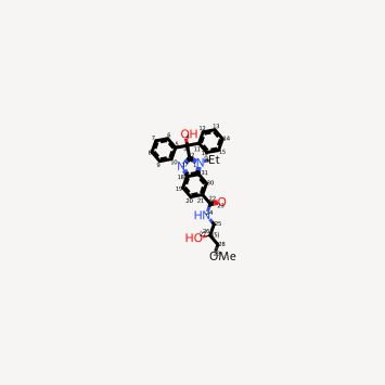 CCn1c(C(O)(c2ccccc2)c2ccccc2)nc2ccc(C(=O)NC[C@H](O)COC)cc21